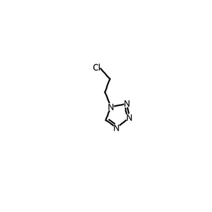 ClCCn1cnnn1